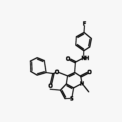 Cc1csc2c1c(OC(=O)c1ccccc1)c(C(=O)Nc1ccc(F)cc1)c(=O)n2C